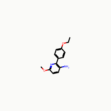 CCOc1ccc(-c2nc(OC)ccc2N)cc1